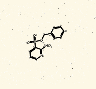 O=[N+]([O-])c1ncccc1S(=O)(=O)OCc1ccccc1